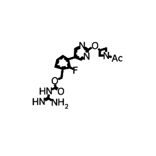 CC(=O)N1CC(Oc2ncc(-c3cccc(COC(=O)NC(=N)N)c3F)cn2)C1